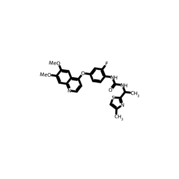 COc1cc2nccc(Oc3ccc(NC(=O)NC(C)c4nc(C)cs4)c(F)c3)c2cc1OC